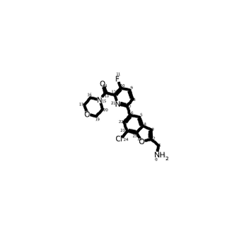 NCc1cc2cc(-c3ccc(F)c(C(=O)N4CCOCC4)n3)cc(Cl)c2o1